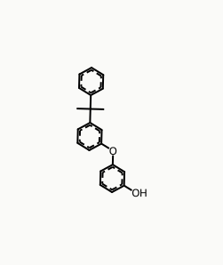 CC(C)(c1ccccc1)c1cccc(Oc2cccc(O)c2)c1